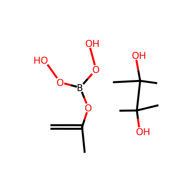 C=C(C)OB(OO)OO.CC(C)(O)C(C)(C)O